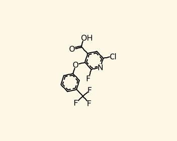 O=C(O)c1cc(Cl)nc(F)c1Oc1cccc(C(F)(F)F)c1